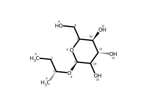 CC[C@@H](C)O[C@H]1OC(CO)[C@@H](O)[C@H](O)C1O